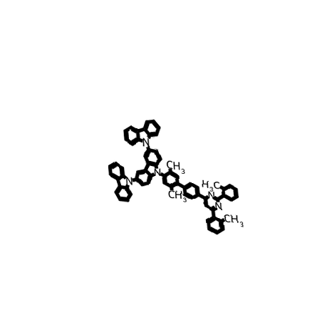 Cc1cc(-n2c3ccc(-n4c5ccccc5c5ccccc54)cc3c3cc(-n4c5ccccc5c5ccccc54)ccc32)c(C)cc1-c1ccc(-c2cc(-c3ccccc3C)nc(-c3ccccc3C)n2)cc1